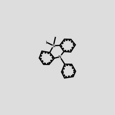 C[Si]1(I)c2ccccc2N(c2ccccc2)c2ccccc21